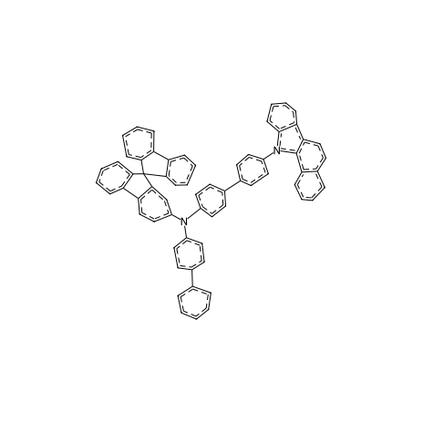 c1ccc(-c2ccc(N(c3ccc(-c4ccc(-n5c6ccccc6c6ccc7ccccc7c65)cc4)cc3)c3ccc4c(c3)C3(c5ccccc5-c5ccccc53)c3ccccc3-4)cc2)cc1